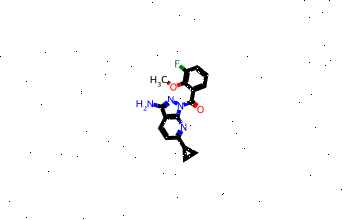 COc1c(F)cccc1C(=O)n1nc(N)c2ccc(C3CC3)nc21